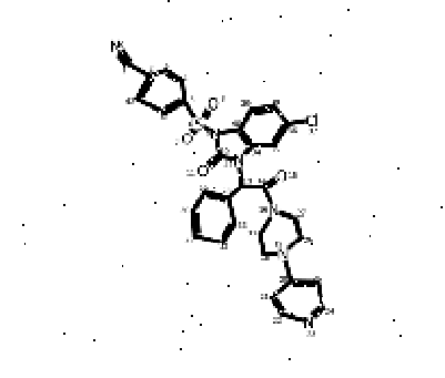 N#Cc1ccc(S(=O)(=O)n2c(=O)n(C(C(=O)N3CCN(c4ccncc4)CC3)c3ccccc3)c3cc(Cl)ccc32)cc1